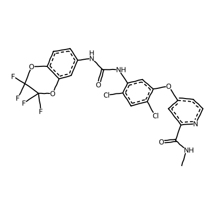 CNC(=O)c1cc(Oc2cc(NC(=O)Nc3ccc4c(c3)OC(F)(F)C(F)(F)O4)c(Cl)cc2Cl)ccn1